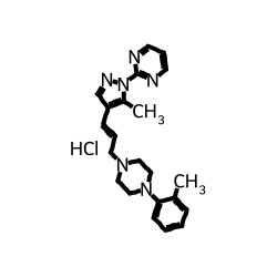 Cc1ccccc1N1CCN(C/C=C/c2cnn(-c3ncccn3)c2C)CC1.Cl